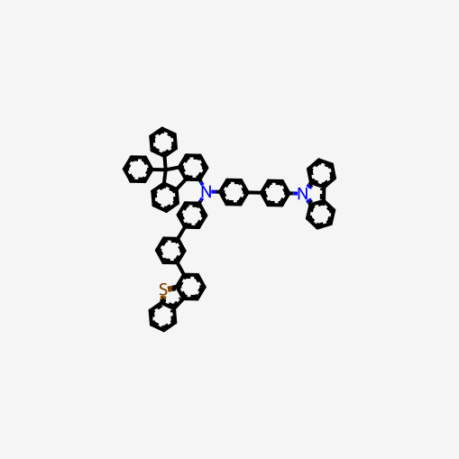 c1ccc(C2(c3ccccc3)c3ccccc3-c3c(N(c4ccc(-c5ccc(-n6c7ccccc7c7ccccc76)cc5)cc4)c4ccc(-c5cccc(-c6cccc7c6sc6ccccc67)c5)cc4)cccc32)cc1